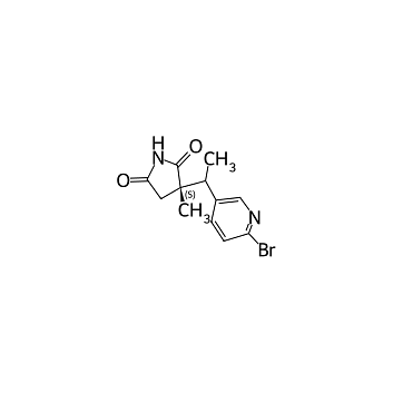 CC(c1ccc(Br)nc1)[C@]1(C)CC(=O)NC1=O